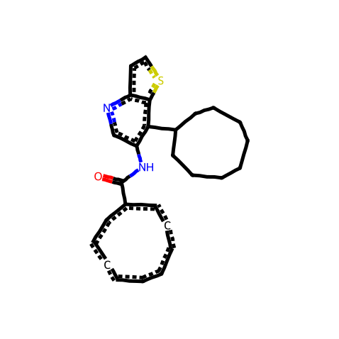 O=C(Nc1cnc2ccsc2c1C1CCCCCCCC1)c1ccccccccc1